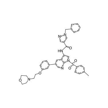 Cc1ccc(S(=O)(=O)n2cc(NC(=O)c3cnn(Cc4ccccc4)c3)c3cc(-c4cccc(OCCN5CCOCC5)c4)cnc32)cc1